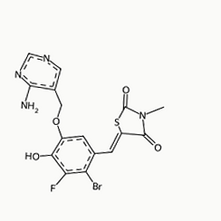 CN1C(=O)S/C(=C\c2cc(OCc3cncnc3N)c(O)c(F)c2Br)C1=O